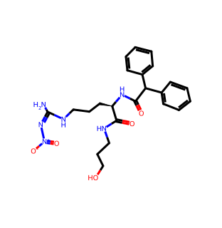 N/C(=N/[N+](=O)[O-])NCCC[C@@H](NC(=O)C(c1ccccc1)c1ccccc1)C(=O)NCCCO